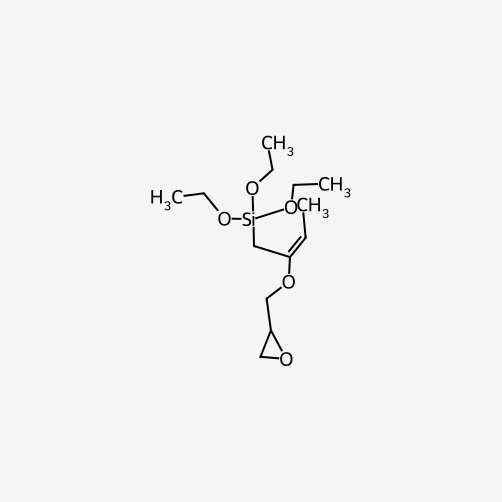 CC=C(C[Si](OCC)(OCC)OCC)OCC1CO1